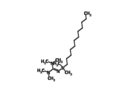 CCCCCCCCCCCC[Si](C)(C)N=C(N(C)C)N(C)C